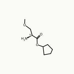 COC[C@H](N)C(=O)OC1CCCC1